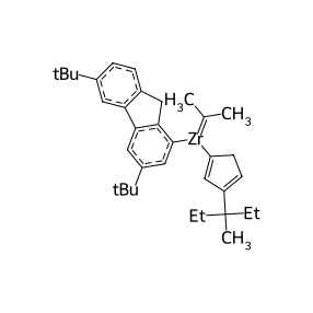 CCC(C)(CC)C1=CC[C]([Zr](=[C](C)C)[c]2cc(C(C)(C)C)cc3c2Cc2ccc(C(C)(C)C)cc2-3)=C1